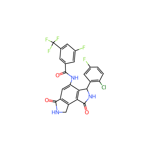 O=C(Nc1cc2c(c3c1C(c1cc(F)ccc1Cl)NC3=O)CNC2=O)c1cc(F)cc(C(F)(F)F)c1